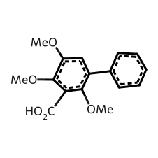 COc1cc(-c2ccccc2)c(OC)c(C(=O)O)c1OC